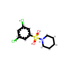 O=S(=O)(c1cc(Cl)cc(Cl)c1)N1[CH]CCCC1